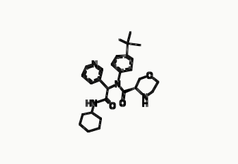 CC(C)(C)c1ccc(N(C(=O)[C@H]2COCCN2)C(C(=O)NC2CCCCC2)c2cccnc2)cc1